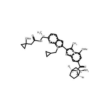 COc1cc(C(=O)N2[C@H]3CC[C@@H]2[C@H](N)C3)cc2nc(-c3cc4ccc([C@@H](C)NC(=O)CC5(OC)CC5)nc4n3CC3CC3)c(C)n12